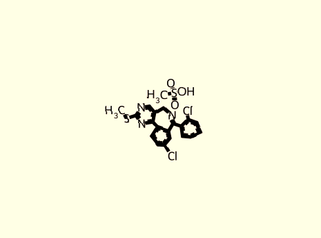 CS(=O)(=O)O.CSc1ncc2c(n1)-c1ccc(Cl)cc1C(c1ccccc1Cl)=NC2